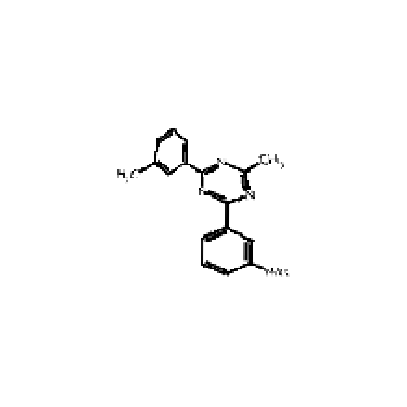 CCCCCCc1cccc(-c2nc(C)nc(-c3cccc(C)c3)n2)c1